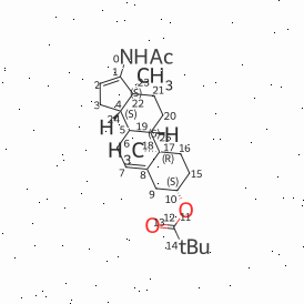 CC(=O)NC1=CC[C@H]2C3CC=C4C[C@@H](OC(=O)C(C)(C)C)CC[C@]4(C)[C@H]3CC[C@]12C